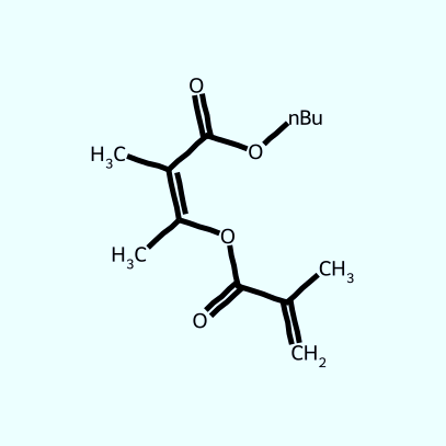 C=C(C)C(=O)OC(C)=C(C)C(=O)OCCCC